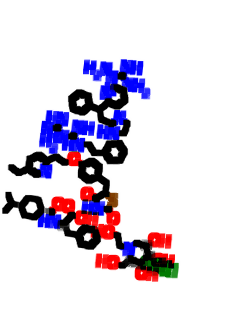 CC(C)[C@H]1CC[C@H](C(=O)N[C@H](Cc2ccccc2)C(=O)O)CC1.CCc1ccc(CCOc2ccc(CC3SC(=O)NC3=O)cc2)nc1.Cl.Cl.Cl.N=C(N)NC(=N)NCCc1ccccc1.N=C(N)NN.OCCN1C[C@H](O)[C@@H](O)[C@H](O)[C@H]1CO.c1ccc(C(CC2=NCCN2)c2ccccn2)cc1